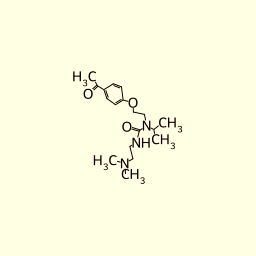 CC(=O)c1ccc(OCCN(C(=O)NCCN(C)C)C(C)C)cc1